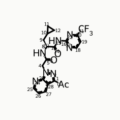 CC(=O)c1nn(CC(=O)N[C@@H](CC2CC2)C(=O)Nc2nccc(C(F)(F)F)n2)c2ncccc12